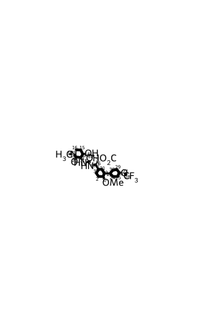 COc1ccc([C@H](CC(=O)O)NC(=O)Nc2c(O)ccn(C)c2=O)cc1-c1ccc(OC(F)(F)F)cc1